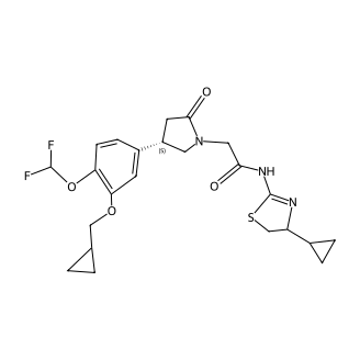 O=C(CN1C[C@H](c2ccc(OC(F)F)c(OCC3CC3)c2)CC1=O)NC1=NC(C2CC2)CS1